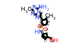 Cc1nc(N)n2cc(-c3cc(S(=O)(=O)NC45CCC(CO)(C4)C5)ccc3C)nc2n1